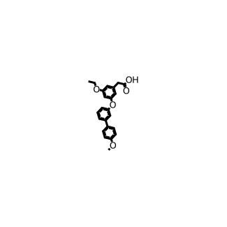 CCOc1cc(CC(=O)O)cc(Oc2cccc(-c3ccc(OC)cc3)c2)c1